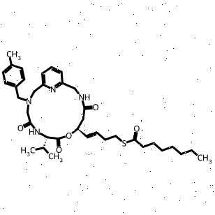 CCCCCCCC(=O)SCC/C=C/[C@@H]1CC(=O)NCc2cccc(n2)CN(Cc2ccc(C)cc2)CC(=O)N[C@@H](C(C)C)C(=O)O1